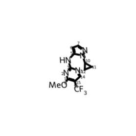 COc1nc(Nc2ccnn2C2CC2)ncc1C(F)(F)F